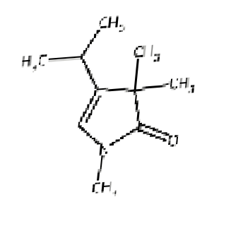 CC(C)C1=CN(C)C(=O)C1(C)C